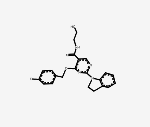 O=C(NCCO)c1cnc(N2CCc3ccccc32)nc1OCc1ccc(F)cc1